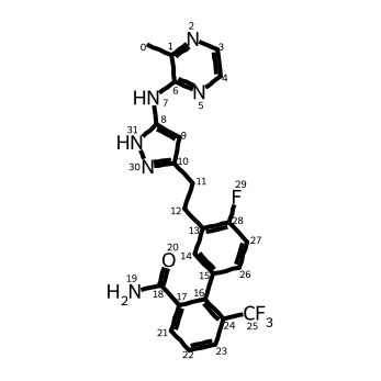 Cc1nccnc1Nc1cc(CCc2cc(-c3c(C(N)=O)cccc3C(F)(F)F)ccc2F)n[nH]1